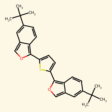 CC(C)(C)c1ccc2c(-c3ccc(-c4occ5cc(C(C)(C)C)ccc45)s3)occ2c1